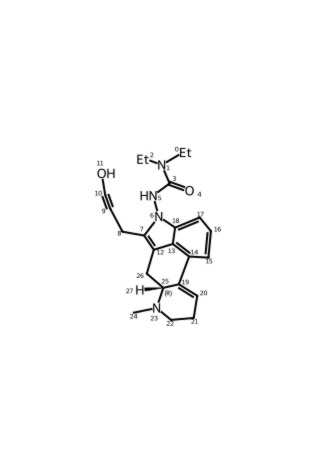 CCN(CC)C(=O)Nn1c(CC#CO)c2c3c(cccc31)C1=CCCN(C)[C@@H]1C2